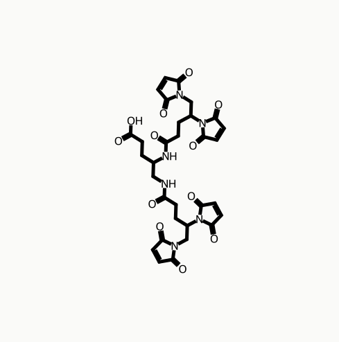 O=C(O)CCC(CNC(=O)CCC(CN1C(=O)C=CC1=O)N1C(=O)C=CC1=O)NC(=O)CCC(CN1C(=O)C=CC1=O)N1C(=O)C=CC1=O